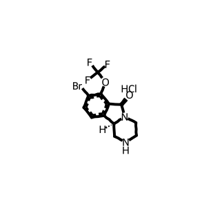 Cl.O=C1c2c(ccc(Br)c2OC(F)(F)F)[C@@H]2CNCCN12